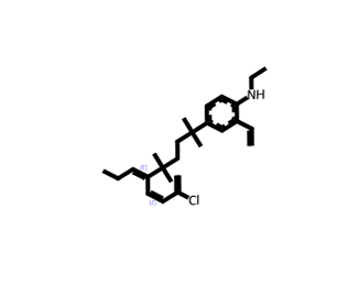 C=Cc1cc(C(C)(C)CCC(C)(C)C(/C=C\C(=C)Cl)=C/CC)ccc1NCC